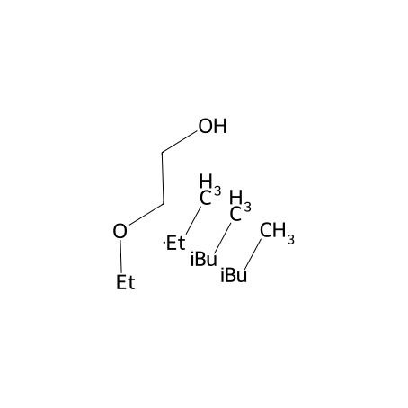 CCOCCO.C[CH]C.C[CH]C(C)C.C[CH]C(C)C